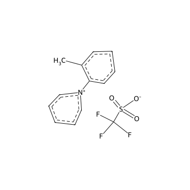 Cc1ccccc1-[n+]1ccccc1.O=S(=O)([O-])C(F)(F)F